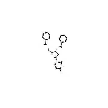 Nc1ccn(C2OC(COC(=O)c3ccccc3)C(OC(=O)c3ccccc3)C2[18F])c(=O)n1